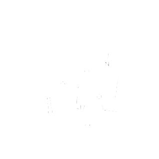 CC(=O)OC([SiH3])(OC(C)=O)ON(C(C)C)C(C)C